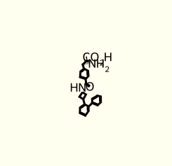 N[C@@H](Cc1ccc(C(=O)NC2CC(c3ccccc3-c3ccccc3)C2)cc1)C(=O)O